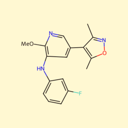 COc1ncc(-c2c(C)noc2C)cc1Nc1cccc(F)c1